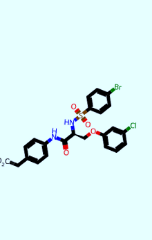 O=C(O)Cc1ccc(NC(=O)[C@H](COc2cccc(Cl)c2)NS(=O)(=O)c2ccc(Br)cc2)cc1